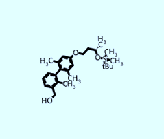 Cc1cc(OCC[C@H](C)O[Si](C)(C)C(C)(C)C)cc(C)c1-c1cccc(CO)c1C